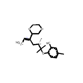 Cc1ccc(OC(C)(C)[C@@H](C)C/C(=C\C(=O)O)C2COCCO2)c(C#N)c1